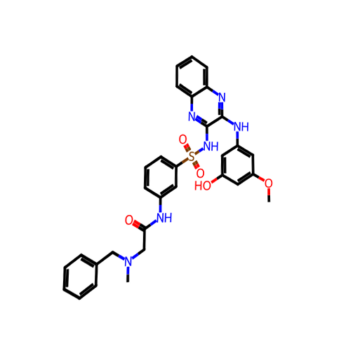 COc1cc(O)cc(Nc2nc3ccccc3nc2NS(=O)(=O)c2cccc(NC(=O)CN(C)Cc3ccccc3)c2)c1